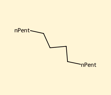 [CH2]CC[CH]CCCCCCCCCC